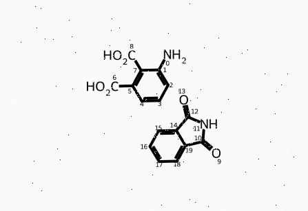 Nc1cccc(C(=O)O)c1C(=O)O.O=C1NC(=O)c2ccccc21